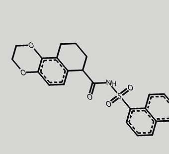 O=C(NS(=O)(=O)c1cccc2ccccc12)C1CCCc2c1ccc1c2OCCO1